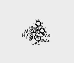 COCC(OS(C)(=O)=O)[C@]1(CO[Si](c2ccccc2)(c2ccccc2)C(C)(C)C)OC(OC(C)=O)[C@H](OC(C)=O)[C@@H]1OC